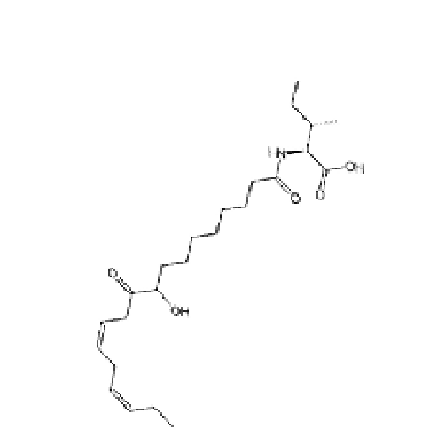 CC/C=C\C/C=C\CC(=O)C(O)CCCCCCCC(=O)N[C@H](C(=O)O)[C@@H](C)CC